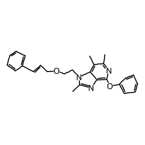 Cc1nc(Oc2ccccc2)c2nc(C)n(CCOC/C=C/c3ccccc3)c2c1C